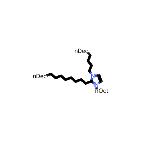 CCCCCCCCCCCCCCCCCCC1N(CCCCCCCC)C=CN1CCCCCCCCCCCCCC